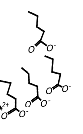 CCCCC(=O)[O-].CCCCC(=O)[O-].CCCCC(=O)[O-].CCCCC(=O)[O-].[Rh+2].[Rh+2]